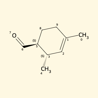 CC1=C[C@H](C)[C@@H](C=O)CC1